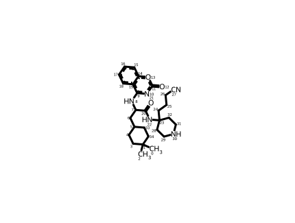 CC1(C)CCC(CC(Nc2nc(=O)oc3ccccc23)C(=O)NC2(CCCC#N)CCNCC2)CC1